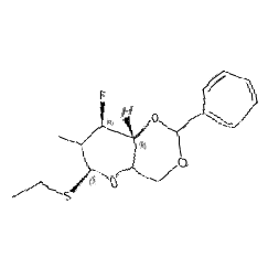 CCS[C@@H]1OC2COC(c3ccccc3)O[C@H]2[C@H](F)C1C